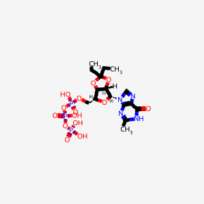 CCC1(CC)OC2[C@@H](COP(=O)(O)OP(=O)(O)OP(=O)(O)O)O[C@@H](n3cnc4c(=O)[nH]c(C)nc43)[C@H]2O1